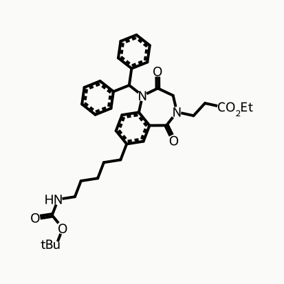 CCOC(=O)CCN1CC(=O)N(C(c2ccccc2)c2ccccc2)c2ccc(CCCCCNC(=O)OC(C)(C)C)cc2C1=O